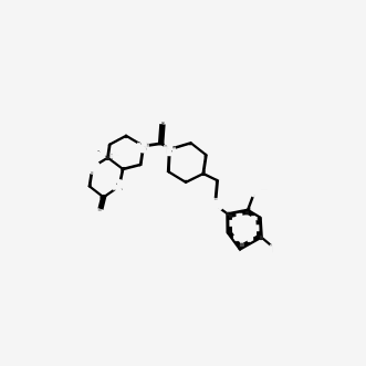 Cc1cc(F)ccc1OCC1CCN(C(=O)N2CC[C@@H]3OCC(=O)NC3C2)CC1